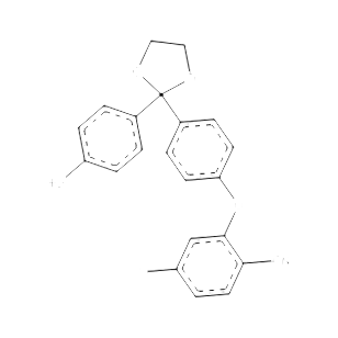 N#Cc1ccc(F)cc1Oc1ccc(C2(c3ccc(O)cc3)OCCO2)cc1